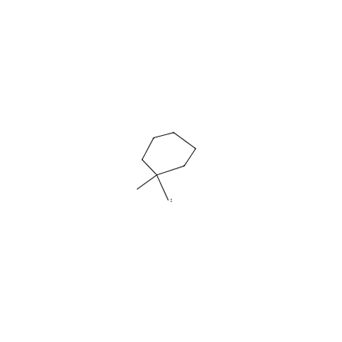 [CH]C1(C)CCCCC1